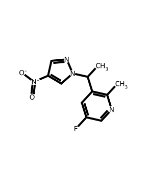 Cc1ncc(F)cc1C(C)n1cc([N+](=O)[O-])cn1